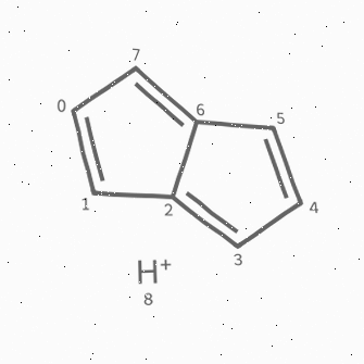 C1=CC2=CC=CC2=C1.[H+]